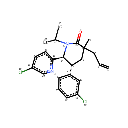 C=CCC1(C)C[C@H](c2cccc(Cl)c2)[C@@H](c2ccc(Cl)cn2)N(C(CC)CC)C1=O